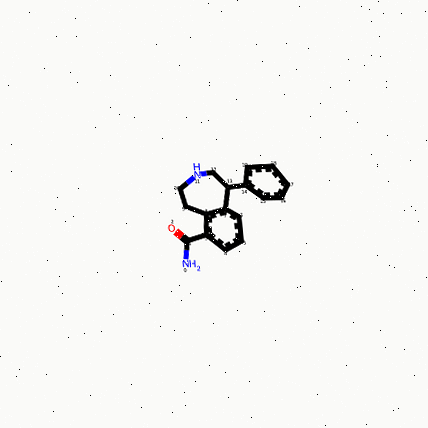 NC(=O)c1cccc2c1CCNCC2c1ccccc1